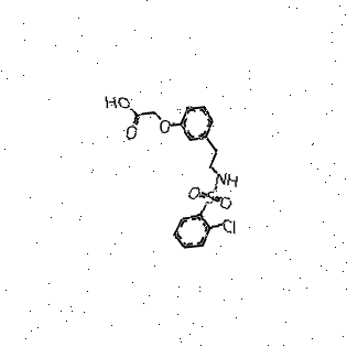 O=C(O)COc1cccc(CCNS(=O)(=O)c2ccccc2Cl)c1